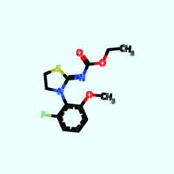 CCOC(=O)/N=C1\SCCN1c1c(F)cccc1OC